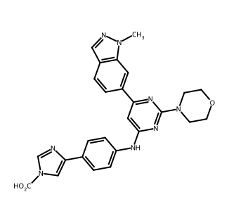 Cn1ncc2ccc(-c3cc(Nc4ccc(-c5cn(C(=O)O)cn5)cc4)nc(N4CCOCC4)n3)cc21